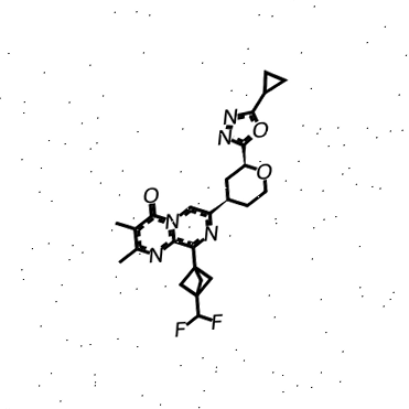 Cc1nc2c(C34CC(C(F)F)(C3)C4)nc([C@@H]3CCO[C@H](c4nnc(C5CC5)o4)C3)cn2c(=O)c1C